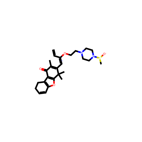 C=C/C(=C\C1=C(C)C(=O)c2c(oc3c2CCC=C3)C1(C)C)OCCN1CCN([S+](C)[O-])CC1